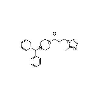 Cc1nccn1CCC(=O)N1CCN(C(c2ccccc2)c2ccccc2)CC1